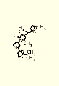 Cc1c(OCc2ccn(C)n2)cc(C)n(-c2ccnc(-c3ccnc(C(C)C)n3)c2)c1=O